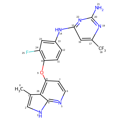 Cc1c[nH]c2nccc(Oc3ccc(Nc4cc(C(F)(F)F)nc(N)n4)cc3F)c12